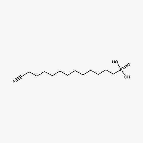 N#CCCCCCCCCCCCCP(=O)(O)O